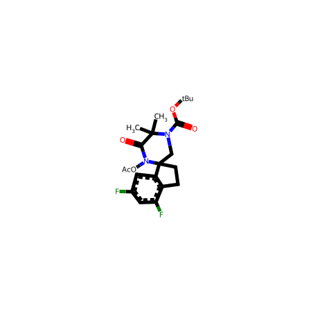 CC(=O)ON1C(=O)C(C)(C)N(C(=O)OC(C)(C)C)CC12CCc1c(F)cc(F)cc12